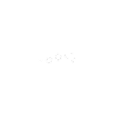 COC(=O)C(NC(=O)c1ccc(-c2ccc(CN3CCOCC3)cc2)cc1)C1(N)CC1